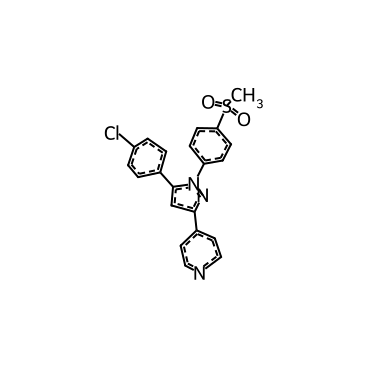 CS(=O)(=O)c1ccc(-n2nc(-c3ccncc3)cc2-c2ccc(Cl)cc2)cc1